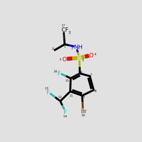 CC(NS(=O)(=O)c1ccc(Br)c(C(F)F)c1F)C(F)(F)F